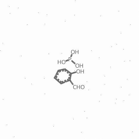 O=Cc1ccccc1O.OP(O)O